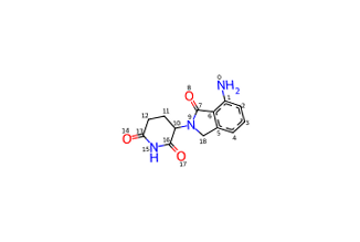 Nc1cccc2c1C(=O)N(C1CCC(=O)NC1=O)C2